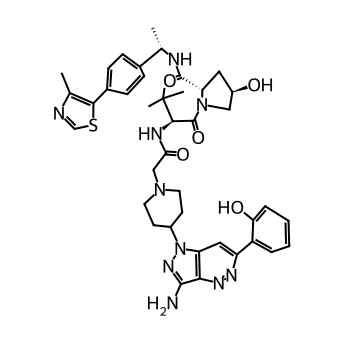 Cc1ncsc1-c1ccc([C@H](C)NC(=O)[C@@H]2C[C@@H](O)CN2C(=O)[C@@H](NC(=O)CN2CCC(n3nc(N)c4nnc(-c5ccccc5O)cc43)CC2)C(C)(C)C)cc1